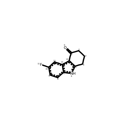 O=C1CCCc2[nH]c3ccc(F)cc3c21